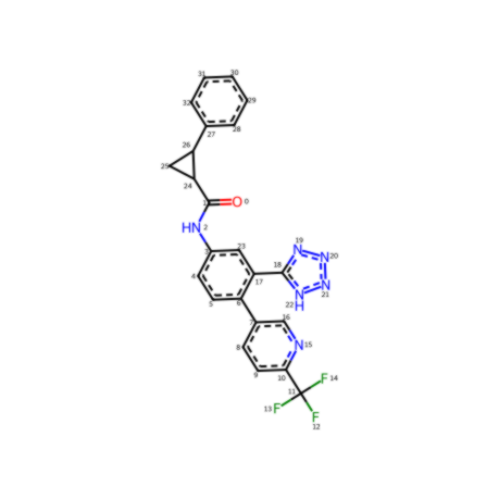 O=C(Nc1ccc(-c2ccc(C(F)(F)F)nc2)c(-c2nnn[nH]2)c1)C1CC1c1ccccc1